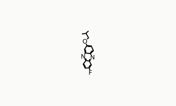 CC(C)COc1ccc2nc3cc(F)ccc3nc2c1